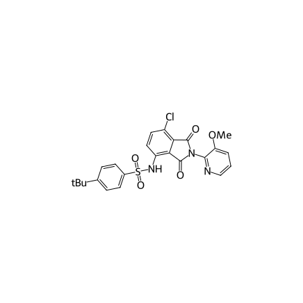 COc1cccnc1N1C(=O)c2c(Cl)ccc(NS(=O)(=O)c3ccc(C(C)(C)C)cc3)c2C1=O